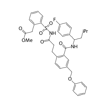 COC(=O)Cc1ccccc1S(=O)(=O)NC(=O)CCc1ccc(COc2ccccc2)cc1C(=O)NC(CC(C)C)c1ccc(F)cc1